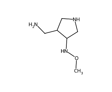 CONC1CNCC1CN